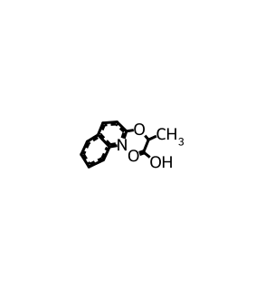 CC(Oc1ccc2ccccc2n1)C(=O)O